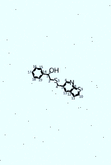 O[C@H](CSCc1cnc2sccc2c1)c1ccccc1